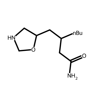 CCCCC(CC(N)=O)CC1CNCO1